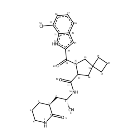 N#C[C@H](C[C@@H]1CCCNC1=O)NC(=O)C1CC2(CCC2)CN1C(=O)c1cc2cccc(Cl)c2[nH]1